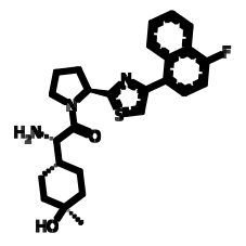 C[C@]1(O)CC[C@H]([C@H](N)C(=O)N2CCC[C@H]2c2nc(-c3ccc(F)c4ccccc34)cs2)CC1